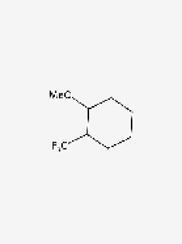 COC1CCCCC1C(F)(F)F